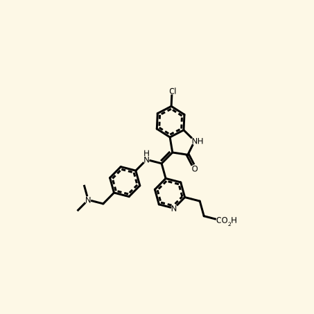 CN(C)Cc1ccc(NC(=C2C(=O)Nc3cc(Cl)ccc32)c2ccnc(CCC(=O)O)c2)cc1